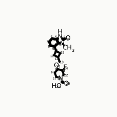 Cn1c(=O)[nH]c2cccc(C3CC(CO[C@H]4CCN(C(=O)O)C[C@@H]4F)C3)c21